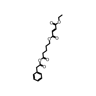 CCOC(=O)/C=C/C(=O)OCCCCC(=O)OC(=O)Cc1ccccc1